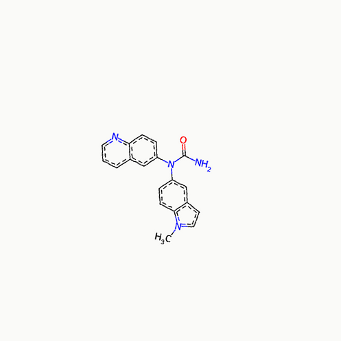 Cn1ccc2cc(N(C(N)=O)c3ccc4ncccc4c3)ccc21